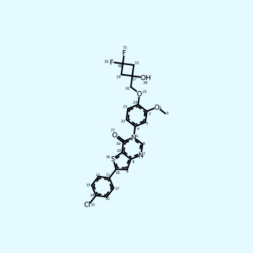 COc1cc(-n2cnc3cc(-c4ccc(Cl)cc4)sc3c2=O)ccc1OCC1(O)CC(F)(F)C1